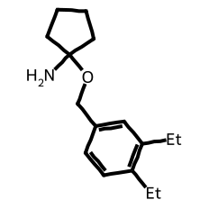 CCc1ccc(COC2(N)CCCC2)cc1CC